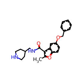 Cc1oc2ccc(OCc3ccccc3)cc2c1C(=O)NCC1CCNCC1